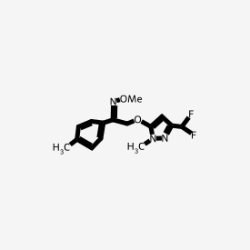 CON=C(COc1cc(C(F)F)nn1C)c1ccc(C)cc1